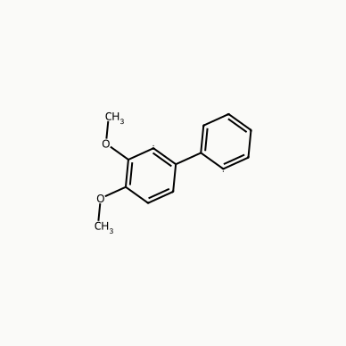 COc1[c]c(-c2[c]cccc2)ccc1OC